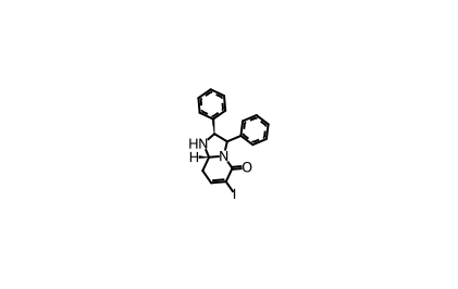 O=C1C(I)=CC[C@@H]2N[C@@H](c3ccccc3)C(c3ccccc3)N12